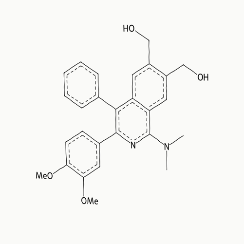 COc1ccc(-c2nc(N(C)C)c3cc(CO)c(CO)cc3c2-c2ccccc2)cc1OC